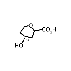 O=C(O)C1C[C@@H](O)CCO1